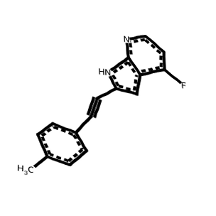 Cc1ccc(C#Cc2cc3c(F)ccnc3[nH]2)cc1